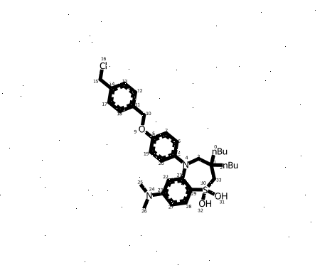 CCCCC1(CCCC)CN(c2ccc(OCc3ccc(CCl)cc3)cc2)c2cc(N(C)C)ccc2S(O)(O)C1